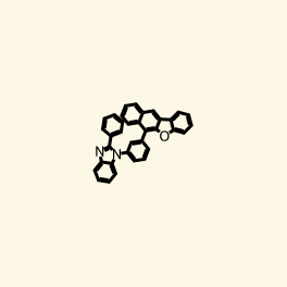 c1ccc(-c2nc3ccccc3n2-c2cccc(-c3c4ccccc4cc4c3oc3ccccc34)c2)cc1